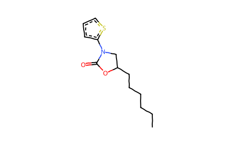 CCCCCCC1CN(c2cccs2)C(=O)O1